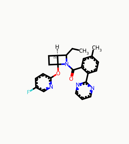 CCC1[C@@H]2CCC2(Oc2ccc(F)cn2)N1C(=O)c1cc(C)ccc1-c1ncccn1